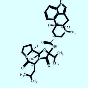 CC(C)C[C@H]1C(=O)N2CCC[C@H]2[C@]2(O)OC(NC(=O)[C@@H]3C[C@@H]4c5cccc6[nH]cc(c56)C[C@H]4N(C)C3)(C(C)C)C(=O)N12